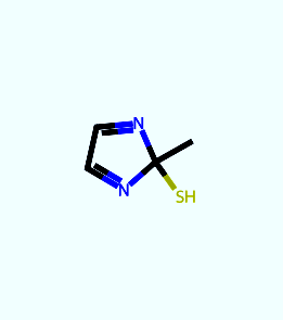 CC1(S)N=CC=N1